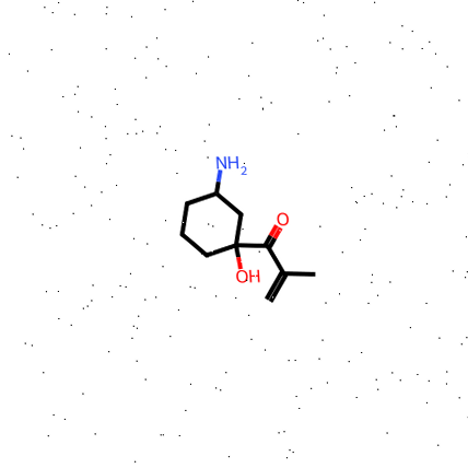 C=C(C)C(=O)C1(O)CCCC(N)C1